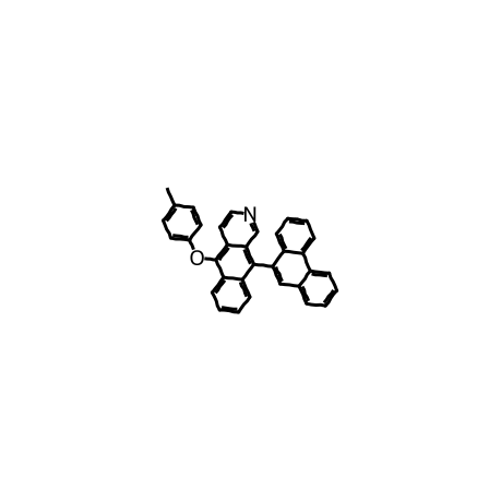 Cc1ccc(Oc2c3ccccc3c(-c3cc4ccccc4c4ccccc34)c3cnccc23)cc1